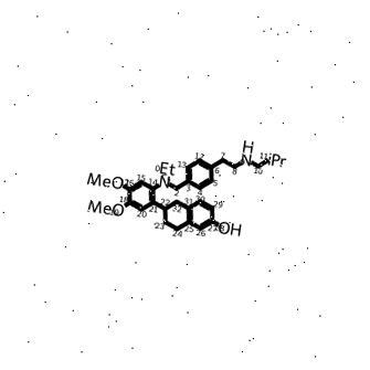 CCN(Cc1ccc(CCNCC(C)C)cc1)c1cc(OC)c(OC)cc1C1CCc2cc(O)ccc2C1